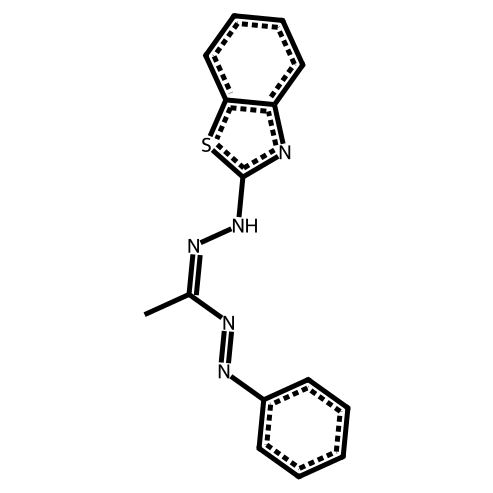 CC(N=Nc1ccccc1)=NNc1nc2ccccc2s1